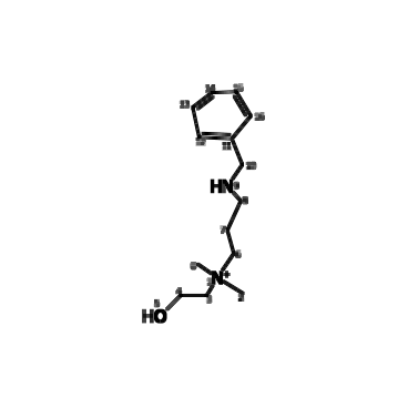 C[N+](C)(CCO)CCCNCc1ccccc1